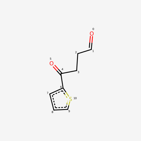 O=CCCC(=O)c1cccs1